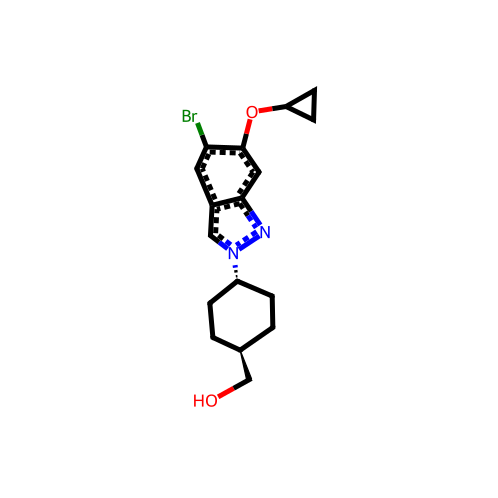 OC[C@H]1CC[C@H](n2cc3cc(Br)c(OC4CC4)cc3n2)CC1